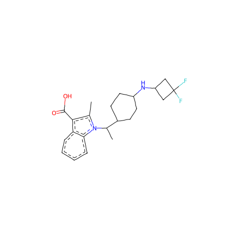 Cc1c(C(=O)O)c2ccccc2n1C(C)C1CCC(NC2CC(F)(F)C2)CC1